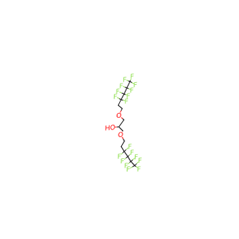 OC(COCCC(F)(F)C(F)(F)C(F)(F)C(F)(F)F)COCCC(F)(F)C(F)(F)C(F)(F)C(F)(F)F